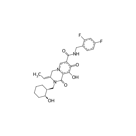 C/C=C1\Cn2cc(C(=O)NCc3ccc(F)cc3F)c(=O)c(O)c2C(=O)N1C[C@@H]1CCCC[C@@H]1O